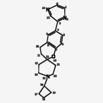 c1cnc(-c2ccc3c(c2)CCC2(CCN(C4CCC4)CC2)O3)cn1